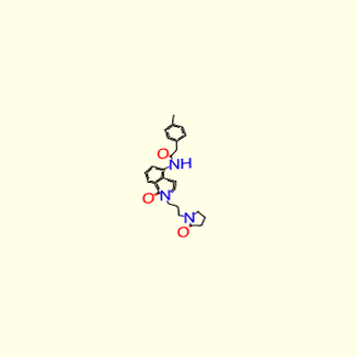 Cc1ccc(CC(=O)Nc2cccc3c(=O)n(CCCN4CCCC4=O)ccc23)cc1